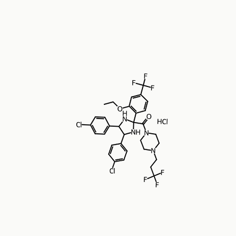 CCOc1cc(C(F)(F)F)ccc1C1(C(=O)N2CCN(CCC(F)(F)F)CC2)NC(c2ccc(Cl)cc2)C(c2ccc(Cl)cc2)N1.Cl